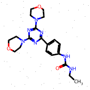 CCNC(=O)Nc1ccc(-c2nc(N3CCOCC3)nc(N3CCOCC3)n2)cc1